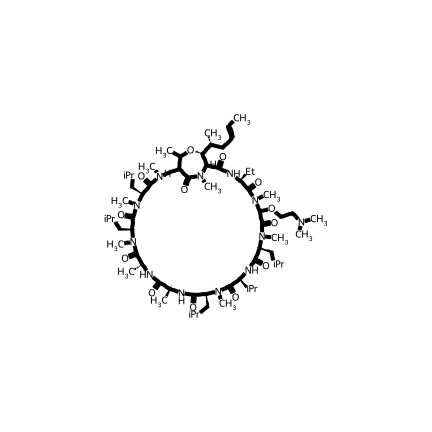 C/C=C/C[C@@H](C)[C@H]1OC(C)[C@H]2C(=O)N(C)[C@@H]1C(=O)N[C@@H](CC)C(=O)N(C)C(OCCN(C)C)C(=O)N(C)[C@@H](CC(C)C)C(=O)N[C@@H](C(C)C)C(=O)N(C)[C@@H](CC(C)C)C(=O)N[C@@H](C)C(=O)N[C@H](C)C(=O)N(C)[C@@H](CC(C)C)C(=O)N(C)[C@@H](CC(C)C)C(=O)N2C